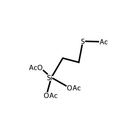 CC(=O)O[Si](CCSC(C)=O)(OC(C)=O)OC(C)=O